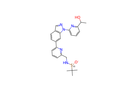 CC(O)c1cccc(-n2ncc3ccc(-c4cccc(CN[S@+]([O-])C(C)(C)C)n4)cc32)n1